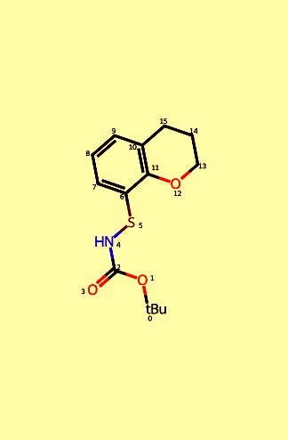 CC(C)(C)OC(=O)NSc1cccc2c1OCCC2